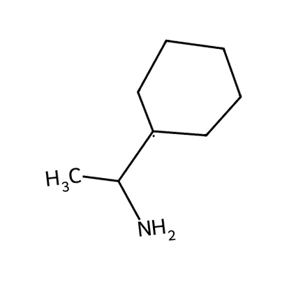 CC(N)[C]1CCCCC1